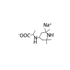 CC(NC1CC(C)(C)NC(C)(C)C1)C(=O)[O-].[Na+]